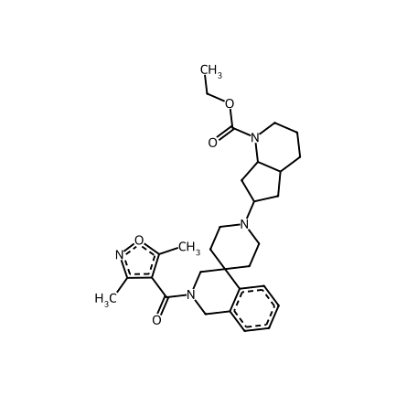 CCOC(=O)N1CCCC2CC(N3CCC4(CC3)CN(C(=O)c3c(C)noc3C)Cc3ccccc34)CC21